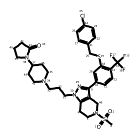 CS(=O)(=O)N1CCc2c(c(-c3ccc(C(F)(F)F)c(SCc4ccc(Cl)cc4)c3)nn2CCCN2CCC(N3CCCC3=O)CC2)C1